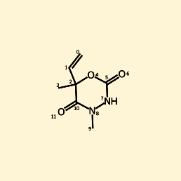 C=CC1(C)OC(=O)NN(C)C1=O